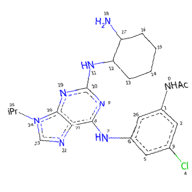 CC(=O)Nc1cc(Cl)cc(Nc2nc(NC3CCCCC3N)nc3c2ncn3C(C)C)c1